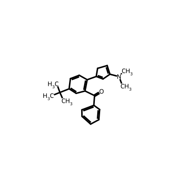 CN(C)C1=CCC(c2ccc(C(C)(C)C)cc2C(=O)c2ccccc2)=C1